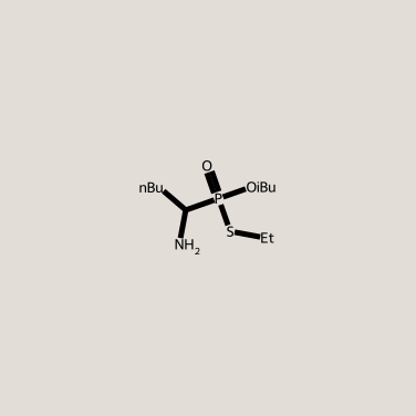 CCCCC(N)P(=O)(OCC(C)C)SCC